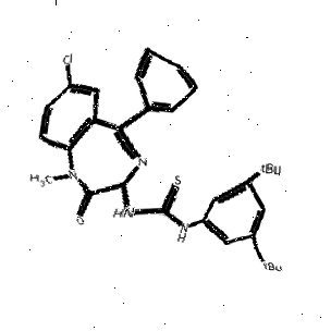 CN1C(=O)C(NC(=S)Nc2cc(C(C)(C)C)cc(C(C)(C)C)c2)N=C(c2ccccc2)c2cc(Cl)ccc21